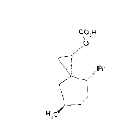 CC(C)[C@@H]1CC[C@@H](C)CC12CC2OC(=O)O